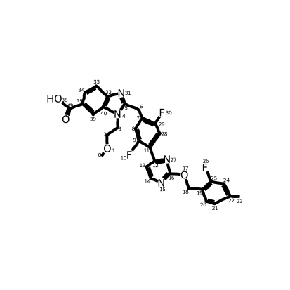 COCCn1c(Cc2cc(F)c(-c3ccnc(OCc4ccc(C)cc4F)n3)cc2F)nc2ccc(C(=O)O)cc21